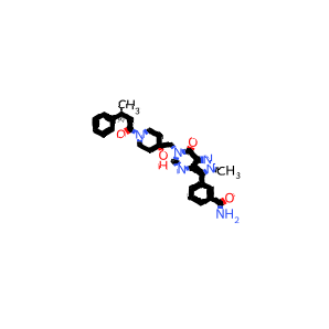 C[C@H](CC(=O)N1CCC(O)(Cn2cnc3c(-c4cccc(C(N)=O)c4)n(C)nc3c2=O)CC1)c1ccccc1